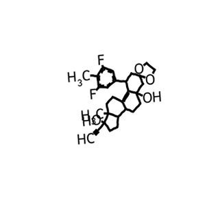 C#CC1(O)CCC2C3CCC4(O)CC5(CC(c6cc(F)c(C)c(F)c6)C4=C3CCC21C)OCCO5